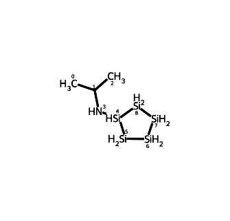 CC(C)N[SiH]1[SiH2][SiH2][SiH2][SiH2]1